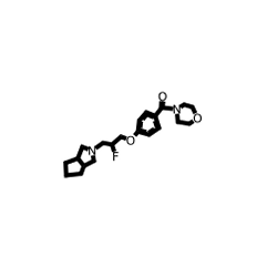 O=C(c1ccc(OCC(F)CN2CC3CCCC3C2)cc1)N1CCOCC1